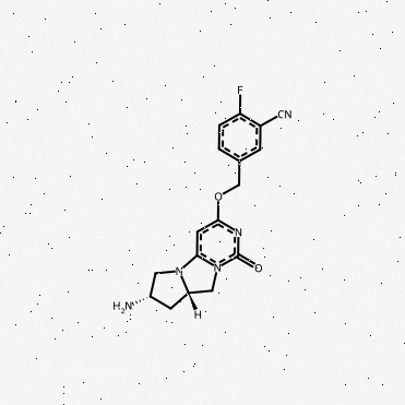 N#Cc1cc(COc2cc3n(c(=O)n2)C[C@@H]2C[C@H](N)CN32)ccc1F